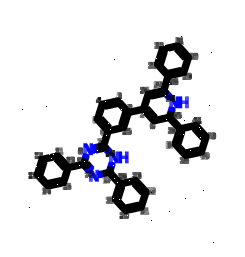 C1=C(c2cccc(C3=NC(c4ccccc4)=NC(c4ccccc4)N3)c2)C=C(c2ccccc2)NC1c1ccccc1